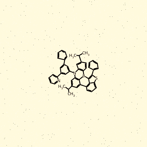 CC(C)c1ccc2c(c1)N(c1cc(-c3ccccc3)cc(-c3ccccn3)c1)c1cc(C(C)C)cc3c1B2c1c(-c2ccccc2)sc2cccc-3c12